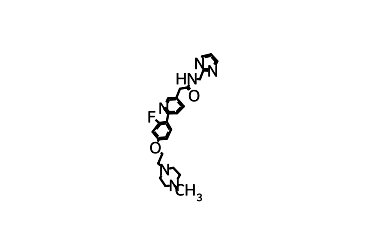 CN1CCN(CCOc2ccc(-c3ccc(CC(=O)NCc4ncccn4)cn3)c(F)c2)CC1